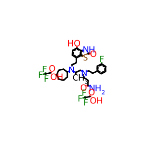 CC(CN(CCC(N)=O)CCc1cccc(F)c1)N(CCc1ccc(O)c2[nH]c(=O)sc12)C1CCCCCC1.O=C(O)C(F)(F)F.O=C(O)C(F)(F)F